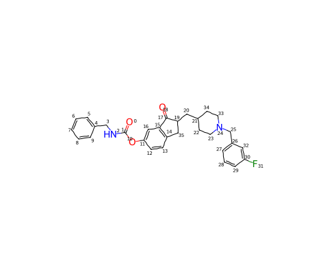 O=C(NCc1ccccc1)Oc1ccc2c(c1)C(=O)C(CC1CCN(Cc3cccc(F)c3)CC1)C2